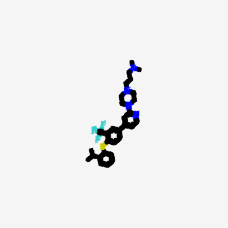 CC(C)c1ccccc1Sc1ccc(-c2ccnc(N3CCN(CCCN(C)C)CC3)c2)cc1C(F)(F)F